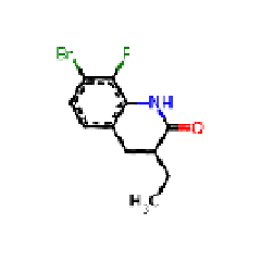 CCC1Cc2ccc(Br)c(F)c2NC1=O